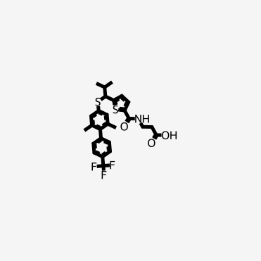 Cc1cc(SC(c2ccc(C(=O)NCCC(=O)O)s2)C(C)C)cc(C)c1-c1ccc(C(F)(F)F)cc1